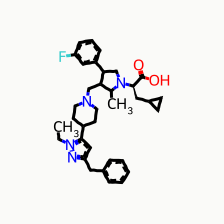 CCn1nc(Cc2ccccc2)cc1C1CCN(CC2C(c3cccc(F)c3)CN([C@H](CC3CC3)C(=O)O)C2C)CC1